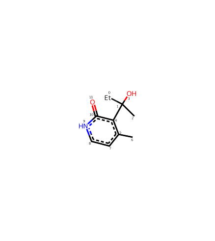 CCC(C)(O)c1c(C)cc[nH]c1=O